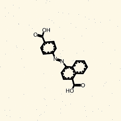 O=C(O)c1ccc(/N=N/c2ccc(C(=O)O)c3ccccc23)cc1